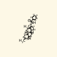 C[C@H]1CC[C@@H]2C3CC[C@@]4(C)C(CC[C@@H]4CNC(=O)c4ccccc4)[C@@H]3CC[C@@H]2C1